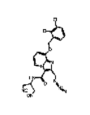 [N-]=[N+]=NCc1nc2c(OCc3cccc(Cl)c3Cl)cccn2c1C(=O)NC(CN=O)CN=O